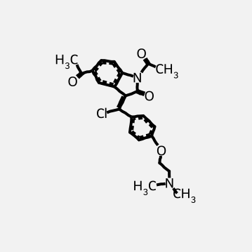 CC(=O)c1ccc2c(c1)C(=C(Cl)c1ccc(OCCN(C)C)cc1)C(=O)N2C(C)=O